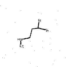 CCNCCC(CC)C(C)C